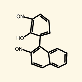 O=Nc1cccc(-c2c(N=O)ccc3ccccc23)c1O